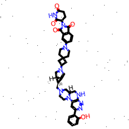 O=C1CCC(N2C(=O)c3ccc(N4CCC5(CC4)CC(N4C=C6[C@@H](CN7CCN8c9cc(-c%10ccccc%10O)nnc9NC[C@H]8C7)[C@@H]6C4)C5)cc3C2=O)C(=O)N1